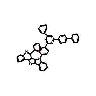 c1ccc(-c2ccc(-c3nc(-c4ccccc4)nc(-c4ccc(-n5c6ccccc6c6oc7c8ccccc8nc(-c8ccccc8)c7c65)cc4)n3)cc2)cc1